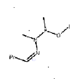 CB(OI)N(C)/N=C\C(C)C